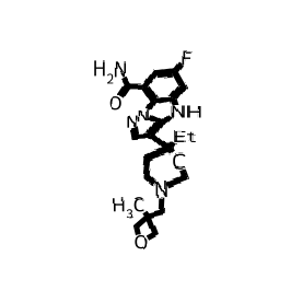 CCC1(c2cnn3c2[nH]c2cc(F)cc(C(N)=O)c23)CCN(CC2(C)COC2)CC1